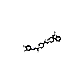 O=C(/C=C/c1ccc(F)c(F)c1)N1CCC(C(O)CN2CCC3(CC2)CNc2ccccc23)CC1